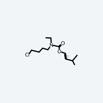 CCN(CCCCCl)C(=O)O/C=C/C(C)C